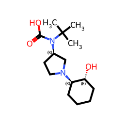 CC(C)(C)N(C(=O)O)[C@@H]1CCN([C@@H]2CCCC[C@H]2O)C1